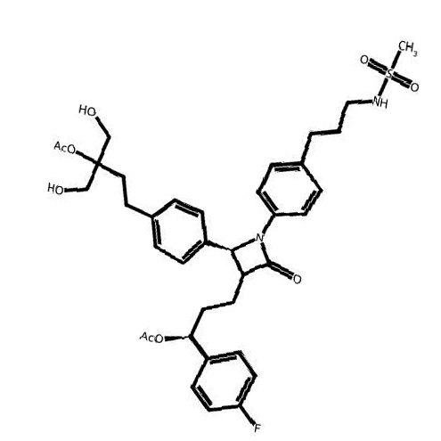 CC(=O)O[C@@H](CCC1C(=O)N(c2ccc(CCCNS(C)(=O)=O)cc2)[C@@H]1c1ccc(CCC(CO)(CO)OC(C)=O)cc1)c1ccc(F)cc1